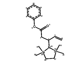 C=CC(CC(=O)Oc1ccccc1)N1[Si](C)(C)CC[Si]1(C)C